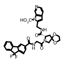 O=C(NCC(=O)N1CC2(C[C@H]1C(=O)NCc1cc3ccncc3n1C(=O)O)OCCO2)c1ccc2c(c1)-c1ccccc1C2(F)F